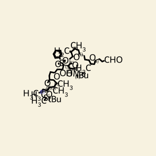 C=C1C[C@H](CCC=O)OC1CC[C@H]1C[C@@H](C)C(=C)C(C[C@@H]2O[C@H](C[C@H](C)CC)[C@H](OC)[C@H]2C(C(O)CC2CCC3O[C@@H]([C@H](/C=C/C)O[Si](C)(C)C(C)(C)C)[C@@H](C)[C@@H](C)C3O2)S(=O)(=O)c2ccccc2)O1